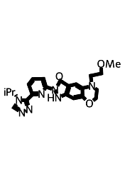 COCCN1CCOc2cc3[nH]n(-c4cccc(-c5nncn5C(C)C)n4)c(=O)c3cc21